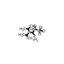 CC(C)N(C(C)C)C(C)[SiH](Cl)[Si](Cl)(Cl)Cl